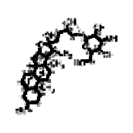 C[C@H](CCC1(O)OC2C[C@H]3[C@@H]4CC=C5CC(C(C)(C)C)CC[C@]5(C)[C@H]4CC[C@]3(C)[C@H]2[C@@H]1C)CO[C@@H]1OC(CO)[C@@H](O)C(O)C1O